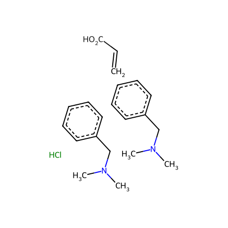 C=CC(=O)O.CN(C)Cc1ccccc1.CN(C)Cc1ccccc1.Cl